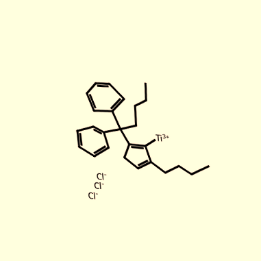 CCCCC1=CCC(C(CCCC)(c2ccccc2)c2ccccc2)=[C]1[Ti+3].[Cl-].[Cl-].[Cl-]